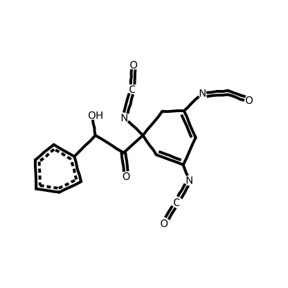 O=C=NC1=CC(N=C=O)(C(=O)C(O)c2ccccc2)CC(N=C=O)=C1